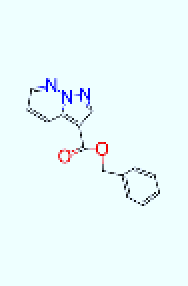 O=C(OCc1ccccc1)c1cnn2ncccc12